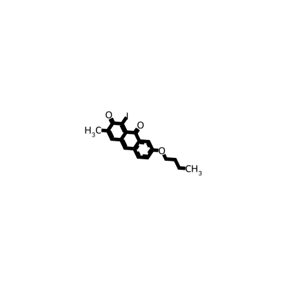 CCCCOc1ccc2c(c1)C(=O)C1=C(I)C(=O)C(C)=CC1=C2